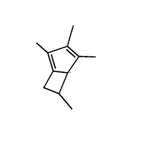 CC1=C(C)C(C)=C2CC(C)[C]12